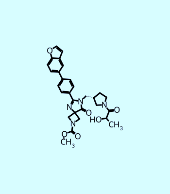 COC(=O)N1CC2(C1)N=C(c1ccc(-c3ccc4occc4c3)cc1)N(C[C@@H]1CCN(C(=O)C(C)O)C1)C2=O